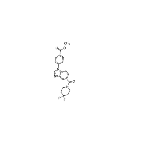 COC(=O)c1ccc(-n2cnc3cc(C(=O)N4CCC(F)(F)CC4)ccc32)cc1